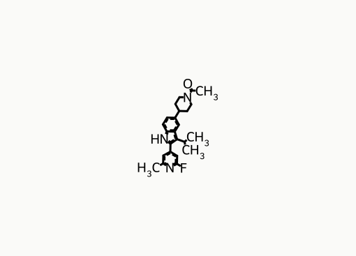 CC(=O)N1CCC(c2ccc3[nH]c(-c4cc(C)nc(F)c4)c(C(C)C)c3c2)CC1